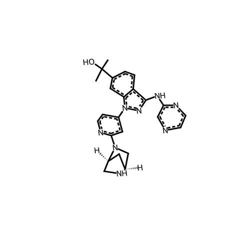 CC(C)(O)c1ccc2c(Nc3cnccn3)nn(-c3ccnc(N4C[C@@H]5C[C@H]4CN5)c3)c2c1